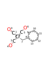 O=[C]=[Cr](=[C]=O)(=[C]=O)[CH2]c1ccccc1